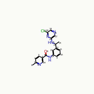 Cc1ccc(C(=O)Nc2cccc(C(C)Nc3cncc(Cl)n3)c2)cn1